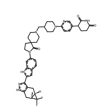 C[C@@]12Cc3[nH]nc(-c4cc5ccc(N6CCC7(CCN(CC8CCN(c9ccc(C%10CCC(=O)NC%10=O)cn9)CC8)CC7)C6=O)cc5[nH]4)c3C[C@@H]1C2(F)F